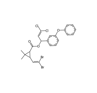 CC1(C)C(C=C(Br)Br)C1C(=O)OC(C=C(Cl)Cl)c1cccc(Oc2ccccc2)c1